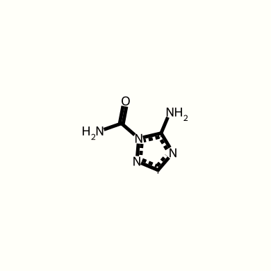 NC(=O)n1n[c]nc1N